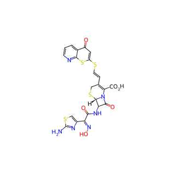 Nc1nc(C(=NO)C(=O)NC2C(=O)N3C(C(=O)O)=C(C=CSc4cc(=O)c5cccnc5s4)CS[C@@H]23)cs1